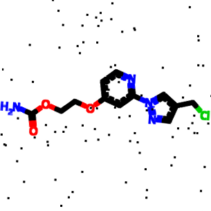 NC(=O)OCCOc1ccnc(-n2cc(CCl)cn2)c1